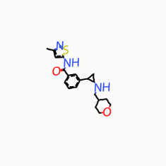 Cc1cc(NC(=O)c2cccc(C3CC3NCC3CCOCC3)c2)sn1